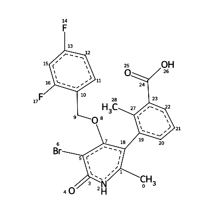 Cc1[nH]c(=O)c(Br)c(OCc2ccc(F)cc2F)c1-c1cccc(C(=O)O)c1C